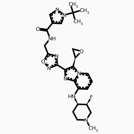 CN1CC[C@@H](Nc2cccn3c([C@H]4CO4)c(-c4noc(CNC(=O)c5cnn(C(C)(C)C)c5)n4)nc23)[C@@H](F)C1